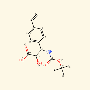 C=Cc1ccc([C@H](NC(=O)OC(C)(C)C)[C@@H](O)C(=O)O)cc1